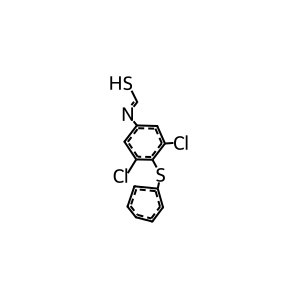 SC=Nc1cc(Cl)c(Sc2ccccc2)c(Cl)c1